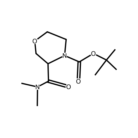 CN(C)C(=O)C1COCCN1C(=O)OC(C)(C)C